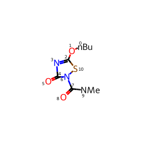 CCCCOc1nc(=O)n(C(=O)NC)s1